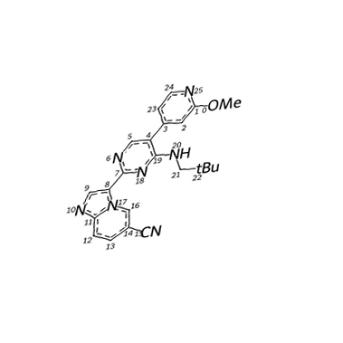 COc1cc(-c2cnc(-c3cnc4ccc(C#N)cn34)nc2NCC(C)(C)C)ccn1